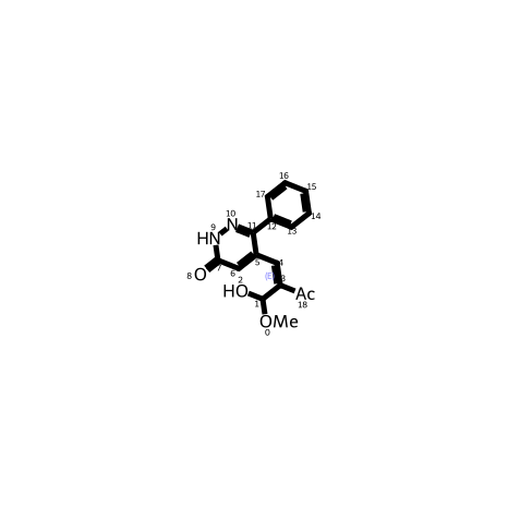 COC(O)/C(=C\c1cc(=O)[nH]nc1-c1ccccc1)C(C)=O